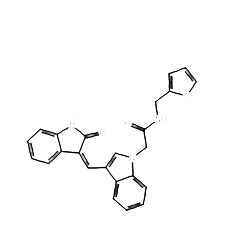 O=C(Cn1cc(/C=C2\C(=O)Nc3ccccc32)c2ccccc21)NCc1ccco1